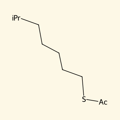 CC(=O)SCCCCCC(C)C